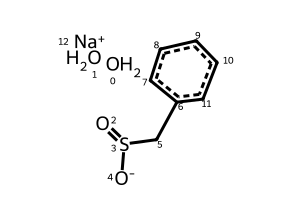 O.O.O=S([O-])Cc1ccccc1.[Na+]